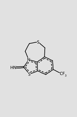 N=c1sc2cc(C(F)(F)F)cc3c2n1CCSC3